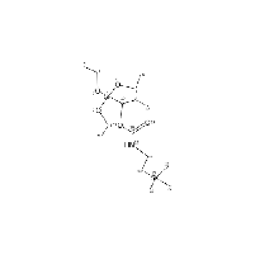 CCO[Si](OCC)(OCC)C(CC)OC(=O)NCC[Si](C)(C)C